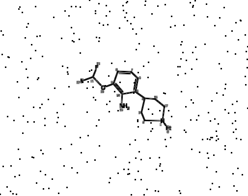 CCN1CCC(c2cccc(OC(F)F)c2N)CC1